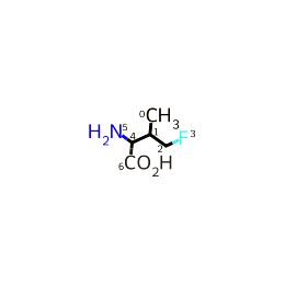 CC(CF)C(N)C(=O)O